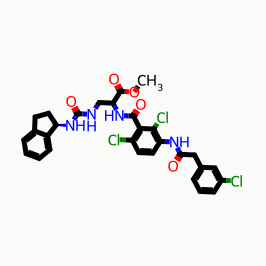 COC(=O)C(CNC(=O)N[C@@H]1CCc2ccccc21)NC(=O)c1c(Cl)ccc(NC(=O)Cc2cccc(Cl)c2)c1Cl